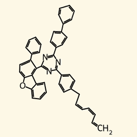 C=C/C=C\C=C/Cc1ccc(-c2nc(-c3ccc(-c4ccccc4)cc3)nc(-c3c(-c4ccccc4)ccc4oc5ccccc5c34)n2)cc1